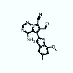 COc1cc(C)cc2cc(-c3c(C=O)c(C#N)n4ncnc(N)c34)sc12